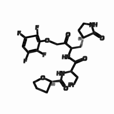 CC(C)CC(NC(=O)[C@H]1CCCO1)C(=O)NC(C[C@@H]1CCNC1=O)C(=O)COc1c(F)c(F)cc(F)c1F